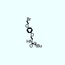 CC(C)(C)OC(=O)NCCOc1ccc(OCCBr)cc1